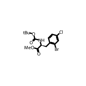 COC(=O)[C@H](Cc1ccc(Cl)cc1Br)NC(=O)OC(C)(C)C